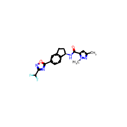 Cc1cc(C(=O)N[C@@H]2CCc3cc(-c4nc(C(F)F)no4)ccc32)n(C)n1